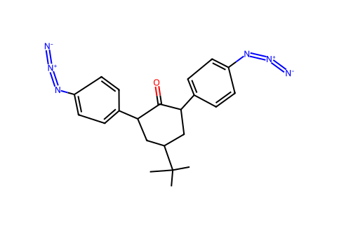 CC(C)(C)C1CC(c2ccc(N=[N+]=[N-])cc2)C(=O)C(c2ccc(N=[N+]=[N-])cc2)C1